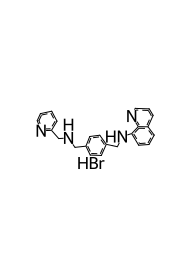 Br.c1ccc(CNCc2ccc(CNc3cccc4cccnc34)cc2)nc1